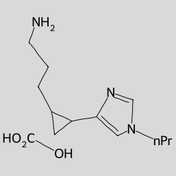 CCCn1cnc(C2CC2CCCN)c1.O=C(O)O